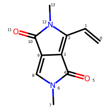 C=CC1=C2C(=O)N(C)C=C2C(=O)N1C